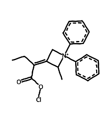 CCC(C(=O)OCl)=C1C[N+](c2ccccc2)(c2ccccc2)C1C